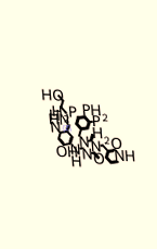 C=C1N(Cc2ccc[nH]c2=O)C(=O)N=C(NC2=C/C(=C/NCCCO)C(=N)C=C2O)N1Cc1cc(P)c(P)c(P)c1